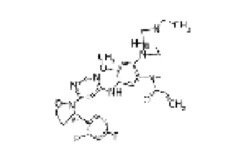 C=CC(=O)Nc1cc(Nc2cc(N3OCC[C@@H]3c3ccc(F)cc3F)ncn2)c(OC)cc1N1CC2[C@H]1CN2CC